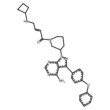 Nc1ncnc2c1c(-c1ccc(Oc3ccccc3)cc1)nn2C1CCCN(C(=O)C=CCNC2CCC2)C1